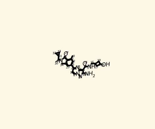 Cc1cc(-c2ccn3nc(N)c(C(=O)NCC4CC(O)C4)c3n2)cc2c1C(=O)N([C@@H](C)C1CC1)C2